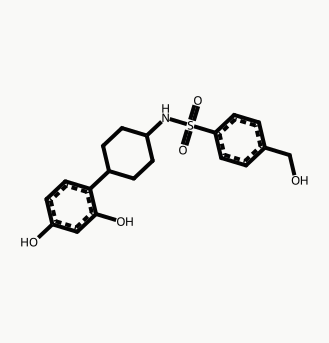 O=S(=O)(NC1CCC(c2ccc(O)cc2O)CC1)c1ccc(CO)cc1